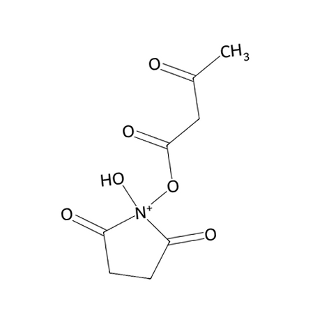 CC(=O)CC(=O)O[N+]1(O)C(=O)CCC1=O